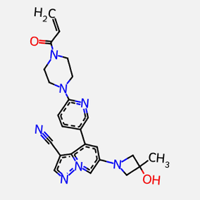 C=CC(=O)N1CCN(c2ccc(-c3cc(N4CC(C)(O)C4)cn4ncc(C#N)c34)cn2)CC1